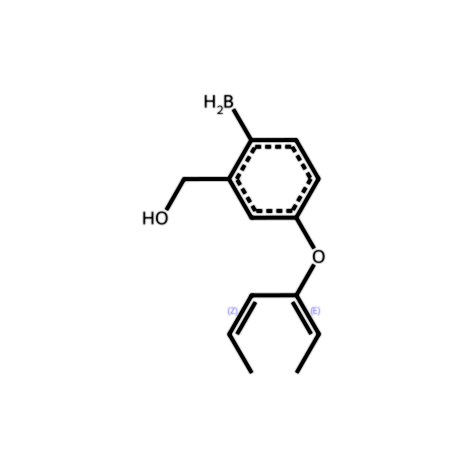 Bc1ccc(OC(/C=C\C)=C/C)cc1CO